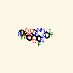 NC1=NC2(c3cc(-c4cccnc4F)ccc3Oc3c2cc(N2CCC(F)(F)CC2)nc3F)[C@H](OC(=O)C(F)(F)F)OC1